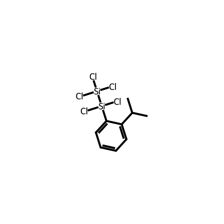 CC(C)c1ccccc1[Si](Cl)(Cl)[Si](Cl)(Cl)Cl